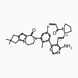 C=CC(=O)N1CCC[C@H]1/C=C/c1c(N)ncnc1-c1cc(F)cc(N2CCn3c(cc4c3CC(C)(C)C4)C2=O)c1C